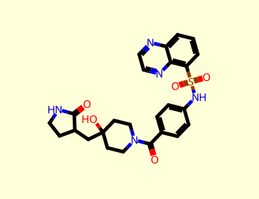 O=C1NCCC1CC1(O)CCN(C(=O)c2ccc(NS(=O)(=O)c3cccc4nccnc34)cc2)CC1